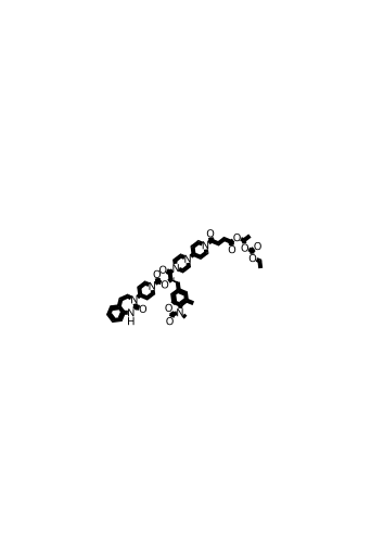 CCOC(=O)OC(C)OC(=O)CCC(=O)N1CCC(N2CCN(C(=O)[C@@H](Cc3cc(C)c4c(c3)oc(=O)n4C)OC(=O)N3CCC(N4CCc5ccccc5NC4=O)CC3)CC2)CC1